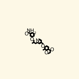 Cc1c(OCc2ccnc(CC(C)COc3cccc(C(N)=O)c3)c2)ccc2c1OCCC2=O